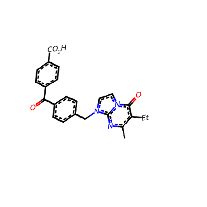 CCc1c(C)nc2n(Cc3ccc(C(=O)c4ccc(C(=O)O)cc4)cc3)ccn2c1=O